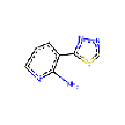 Nc1ncccc1-c1nncs1